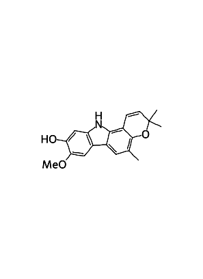 COc1cc2c(cc1O)[nH]c1c3c(c(C)cc12)OC(C)(C)C=C3